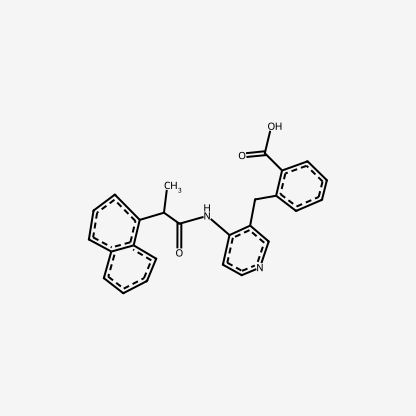 CC(C(=O)Nc1ccncc1Cc1ccccc1C(=O)O)c1cccc2ccccc12